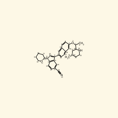 CC(Oc1ccc2cc(-c3nn(C4CCCCO4)c4ccc(C#N)cc34)ccc2c1)C1CN(C)CCN1